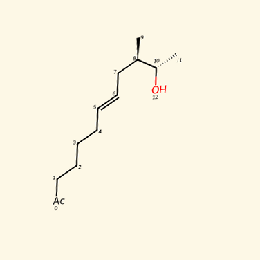 CC(=O)CCCC/C=C/C[C@@H](C)[C@H](C)O